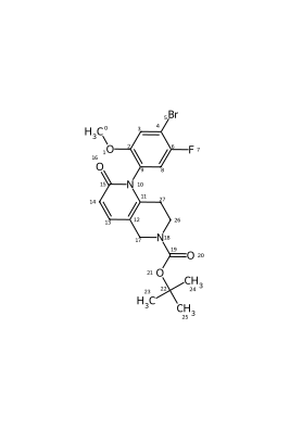 COc1cc(Br)c(F)cc1-n1c2c(ccc1=O)CN(C(=O)OC(C)(C)C)CC2